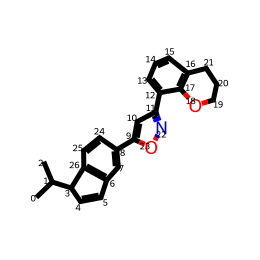 CC(C)C1C=Cc2cc(-c3cc(-c4cccc5c4OCCC5)no3)ccc21